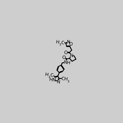 Cc1cc(CC(=O)N2CCCC2C(=O)NCc2ccc(-c3c(C)n[nH]c3C)cc2)on1